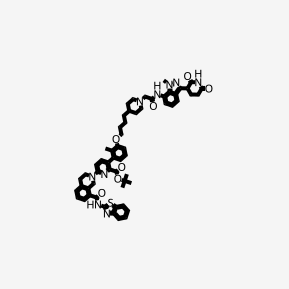 Cc1c(OCCCCC2CCN(CC(=O)Nc3cccc4c(C5CCC(=O)NC5=O)nn(C)c34)CC2)cccc1-c1ccc(N2CCc3cccc(C(=O)Nc4nc5ccccc5s4)c3C2)nc1C(=O)OC(C)(C)C